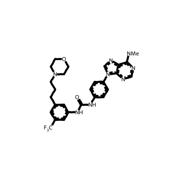 CNc1ncnc2c1ncn2-c1ccc(NC(=O)Nc2cc(CCCN3CCOCC3)cc(C(F)(F)F)c2)cc1